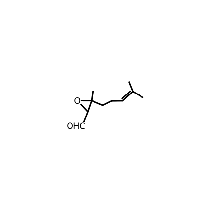 CC(C)=CCCC1(C)OC1C=O